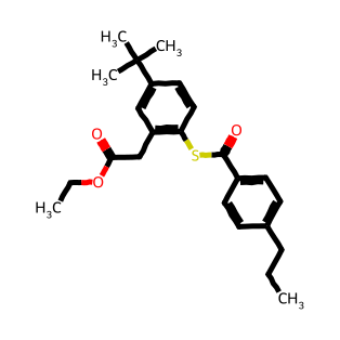 CCCc1ccc(C(=O)Sc2ccc(C(C)(C)C)cc2CC(=O)OCC)cc1